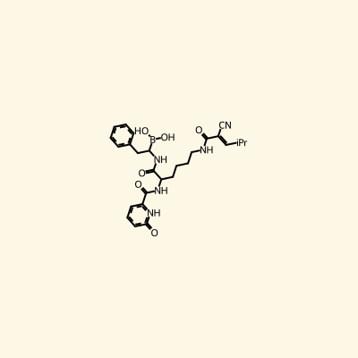 CC(C)C=C(C#N)C(=O)NCCCCC(NC(=O)c1cccc(=O)[nH]1)C(=O)NC(Cc1ccccc1)B(O)O